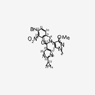 COc1nn(C)cc1N(Cc1ccc(Br)c([N+](=O)[O-])c1)C(=O)c1cnc(C2CC2)nc1